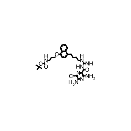 CC(C)(C)OC(=O)NCCCOc1ccc(CCCCNC(=N)NC(=O)c2nc(Cl)c(N)nc2N)c2ccccc12